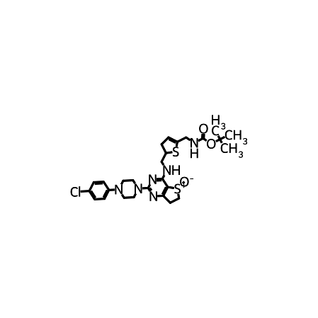 CC(C)(C)OC(=O)NCC1=CCC(CNc2nc(N3CCN(c4ccc(Cl)cc4)CC3)nc3c2[S+]([O-])CC3)S1